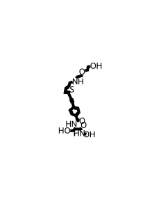 C[C@H](O)[C@H](NC(=O)c1ccc(C#Cc2ccc(CNCCOCCO)s2)cc1)C(=O)NO